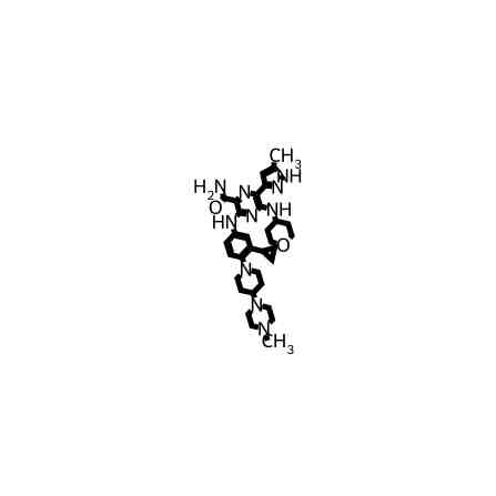 Cc1cc(-c2nc(C(N)=O)c(Nc3ccc(N4CCC(N5CCN(C)CC5)CC4)c(C4CC4)c3)nc2NC2CCOCC2)n[nH]1